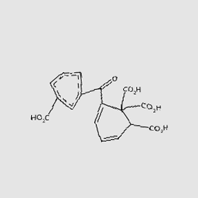 O=C(O)c1cccc(C(=O)C2=CC=CC(C(=O)O)C2(C(=O)O)C(=O)O)c1